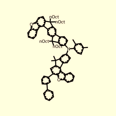 CCCCCCCCC1(CCCCCCCC)c2cc(N(c3ccc4c(c3)C(C)(C)c3cc(-c5cccc(-c6ccccc6)c5)c5oc6ccccc6c5c3-4)c3ccc(C)cc3C)ccc2-c2cc3c(cc21)-c1c(ccc2oc4ccccc4c12)C3(CCCCCCCC)CCCCCCCC